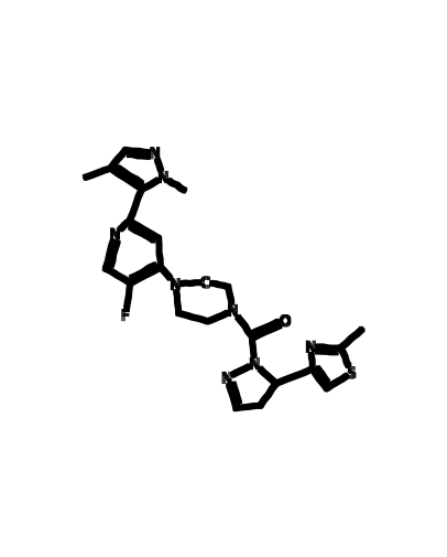 Cc1nc(C2CC=NN2C(=O)N2CCN(c3cc(-c4c(C)cnn4C)ncc3F)CC2)cs1